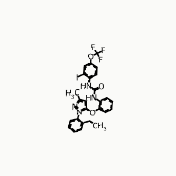 CCc1ccccc1-n1nc(C)cc1Oc1ccccc1NC(=O)Nc1ccc(OC(F)(F)F)cc1I